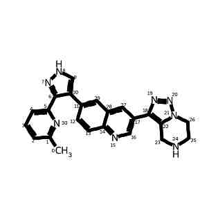 Cc1cccc(-c2n[nH]cc2-c2ccc3ncc(-c4nnn5c4CNCC5)cc3c2)n1